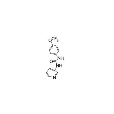 O=C(Nc1ccc(OC(F)(F)F)cc1)Nc1cccnc1